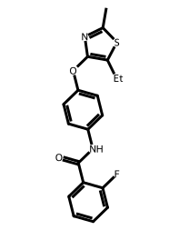 CCc1sc(C)nc1Oc1ccc(NC(=O)c2ccccc2F)cc1